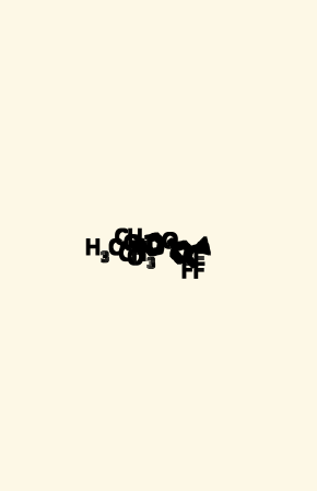 CC(C)(C)OC(=O)N1CCC(Oc2ccc(C(F)(F)F)c(C3CC3)c2)CC1